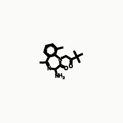 CC1=NC(N)C(=O)N(CC(=O)C(C)(C)C)c2c(C)cccc21